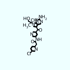 CC(C)(CO)n1cc(C(=O)c2cncc(NC(=O)Cc3ccc(Cl)cn3)c2)c2cnc(N)nc21